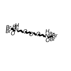 O=C(NCCCOCCOCCOCCCNC(=O)C(Br)(Br)Br)C(Br)(Br)Br